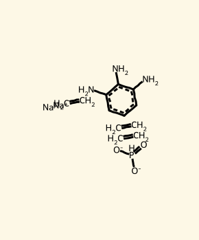 C=C.C=C.C=C.Nc1cccc(N)c1N.O=[PH]([O-])[O-].[Na+].[Na+]